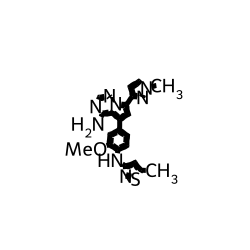 COc1cc(-c2cc(-c3ccn(C)n3)n3ncnc(N)c23)ccc1Nc1cc(C)sn1